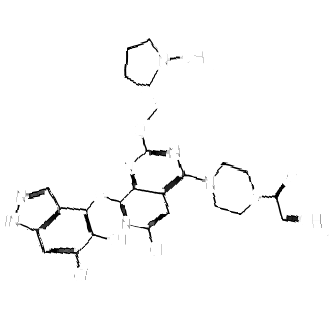 C=CC(=O)N1CCN(c2nc(OC[C@@H]3CCCN3C)nc3c(Oc4c(C)c(Cl)cc5[nH]ncc45)nc(Cl)cc23)CC1